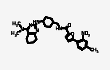 Cc1ccc(-c2ccc(C(=O)NCC3CCC(Nc4nc5c(c(N(C)C)n4)CCCC5)CC3)o2)c([N+](=O)[O-])c1